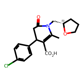 CC1=C(C(=O)O)C(c2ccc(Cl)cc2)CC(=O)N1C[C@@H]1CCCO1